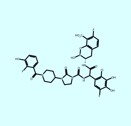 O=C(O)c1c(F)ccc2c1OB(O)[C@@H](NC(=O)C(NC(=O)N1CCN(C3CCN(C(=O)c4cccc(O)c4F)CC3)C1=O)c1cc(F)c(O)c(O)c1Cl)C2